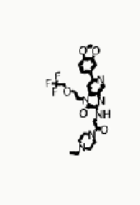 CCN1CCN(C(=O)CNc2nc3cnc(-c4ccc5c(c4)OCO5)cc3n(CCOCC(F)(F)F)c2=O)CC1